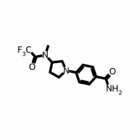 CN(C(=O)C(F)(F)F)C1CCN(c2ccc(C(N)=O)cc2)C1